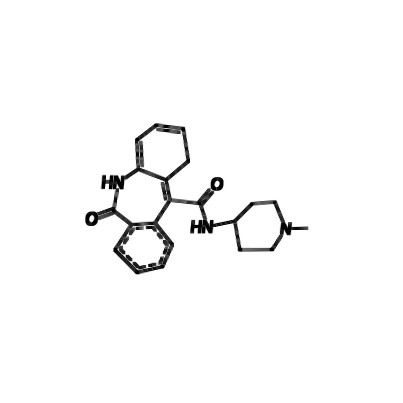 CN1CCC(NC(=O)C2=C3CC=CC=C3NC(=O)c3ccccc32)CC1